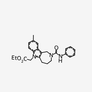 CCOC(=O)Cn1c2c(c3cc(C)ccc31)CN(C(=O)Nc1ccccc1)CCC2